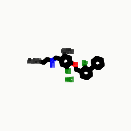 COc1cc(OCc2cccc(-c3ccccc3)c2Br)c(Cl)cc1CNCCNC(C)=O.Cl